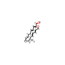 CCC=CC=CC=O.CCCCCC=CC=CC=O